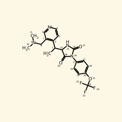 CC(c1ccncc1CN(C)C)C1NC(=O)N(c2ccc(OC(F)(F)F)cc2)C1=O